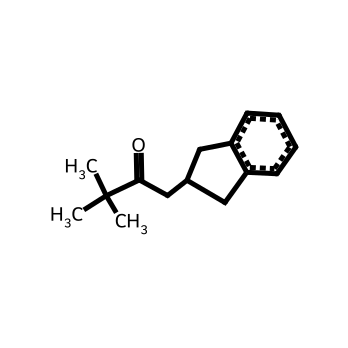 CC(C)(C)C(=O)CC1Cc2ccccc2C1